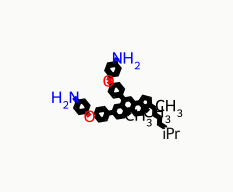 CC(C)CCCCC(C)C1CCC2C3CC(c4ccc(Oc5ccc(N)cc5)cc4)C4CC(c5ccc(Oc6ccc(N)cc6)cc5)CCC4(C)C3CCC12C